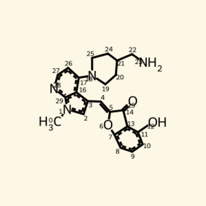 Cn1cc(C=C2Oc3cccc(O)c3C2=O)c2c(N3CCC(CN)CC3)ccnc21